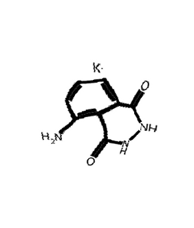 Nc1cccc2c(=O)[nH][nH]c(=O)c12.[K]